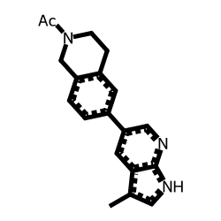 CC(=O)N1CCc2cc(-c3cnc4[nH]cc(C)c4c3)ccc2C1